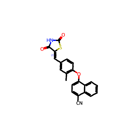 Cc1cc(/C=C2\SC(=O)NC2=O)ccc1Oc1ccc(C#N)c2ccccc12